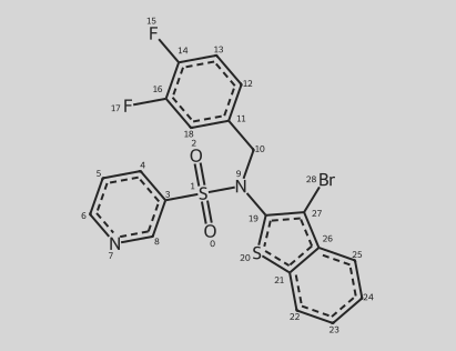 O=S(=O)(c1cccnc1)N(Cc1ccc(F)c(F)c1)c1sc2ccccc2c1Br